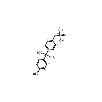 CCCCc1ccc(C(C)(C)c2ccc(CP(=O)(O)O)cc2)cc1